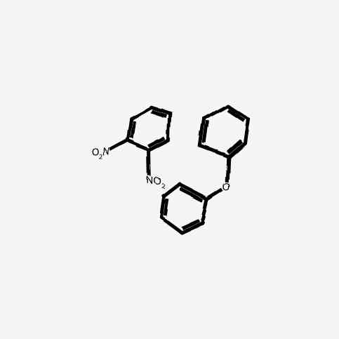 O=[N+]([O-])c1ccccc1[N+](=O)[O-].c1ccc(Oc2ccccc2)cc1